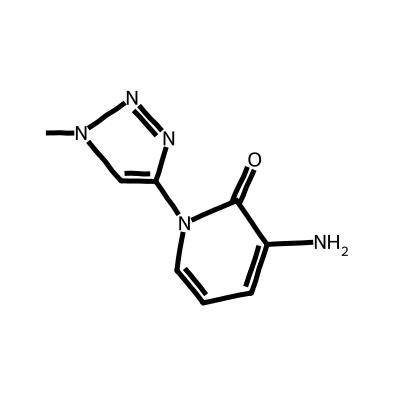 Cn1cc(-n2cccc(N)c2=O)nn1